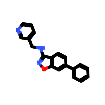 c1ccc(-c2ccc3c(NCc4cccnc4)noc3c2)cc1